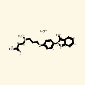 CN(CCCOc1ccc(-n2nc3ccccc3c2Cl)cc1)CCC(=O)O.Cl